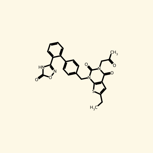 CCc1cc2c(=O)n(CC(C)=O)c(=O)n(Cc3ccc(-c4ccccc4-c4noc(=O)[nH]4)cc3)c2s1